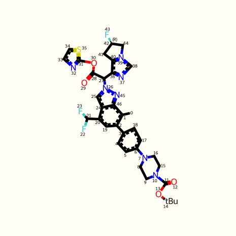 Cc1c(-c2ccc(N3CCN(C(=O)OC(C)(C)C)CC3)cc2)cc(C(F)F)c2cn(C(C(=O)Oc3nccs3)c3ncn4c3C[C@@H](F)C4)nc12